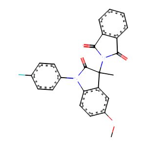 COc1ccc2c(c1)C(C)(N1C(=O)c3ccccc3C1=O)C(=O)N2c1ccc(F)cc1